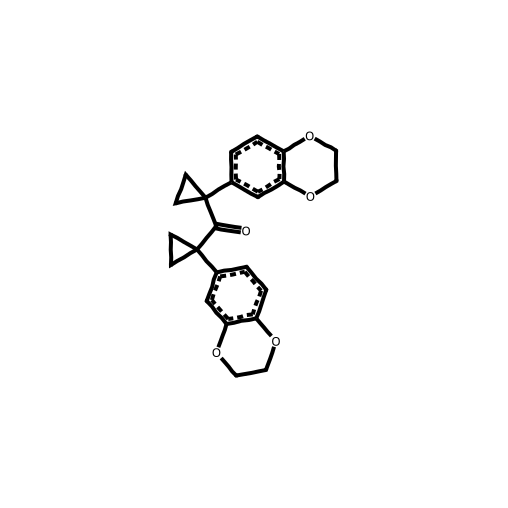 O=C(C1(c2ccc3c(c2)OCCO3)CC1)C1(c2ccc3c(c2)OCCO3)CC1